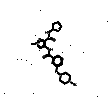 CC(=O)N1CCN(Cc2cccc(C(=O)Nc3cn(C)nc3C(=O)NC3CCCC3)c2)CC1